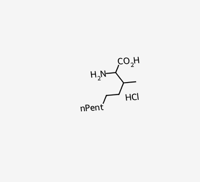 CCCCCCCC(C)C(N)C(=O)O.Cl